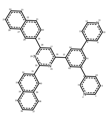 c1cncc(-c2cc(-c3ccncc3)cc(-c3cc(-c4ccc5ccccc5c4)nc(-c4ccc5ccccc5c4)n3)c2)c1